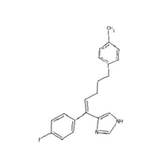 Cc1ccc(CCCC=C(c2ccc(F)cc2)c2c[nH]cn2)cc1